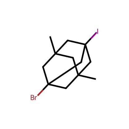 CC12CC3(C)CC(Br)(C1)CC(I)(C2)C3